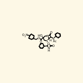 CC(=O)N(c1ccccc1)C1C(=O)N2CC(O)(C(=O)OCc3ccc([N+](=O)[O-])cc3)CS[C@H]12.O=C1NC(c2ccccc2)O1